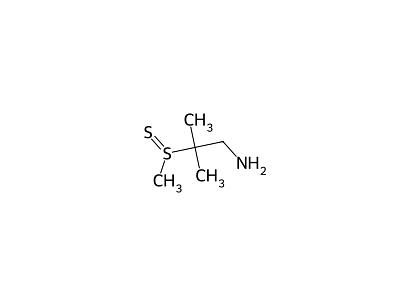 CS(=S)C(C)(C)CN